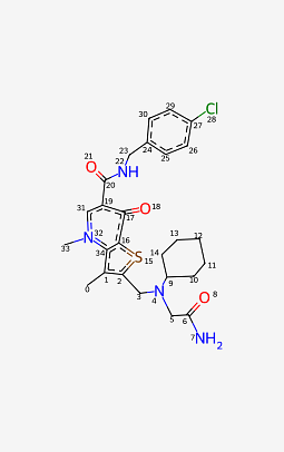 Cc1c(CN(CC(N)=O)C2CCCCC2)sc2c(=O)c(C(=O)NCc3ccc(Cl)cc3)cn(C)c12